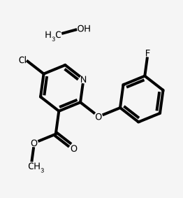 CO.COC(=O)c1cc(Cl)cnc1Oc1cccc(F)c1